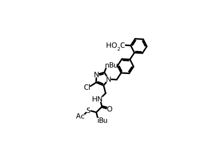 CCCCc1nc(Cl)c(CNC(=O)C(SC(C)=O)C(C)CC)n1Cc1ccc(-c2ccccc2C(=O)O)cc1